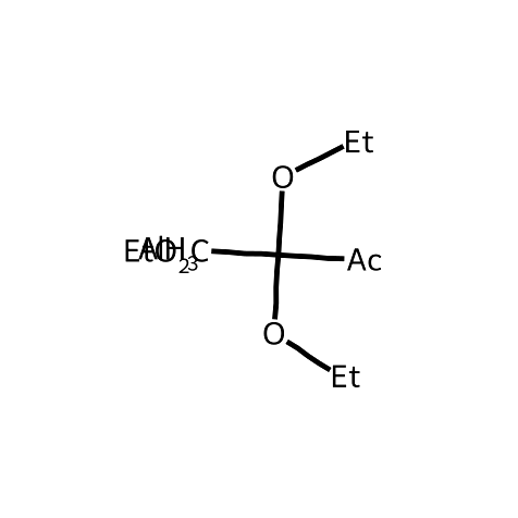 CCOC(=O)C(OCC)(OCC)C(C)=O.[AlH3]